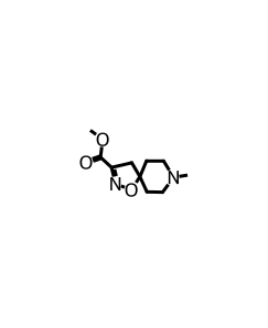 COC(=O)C1=NOC2(CCN(C)CC2)C1